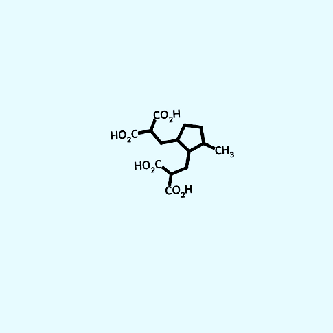 CC1CCC(CC(C(=O)O)C(=O)O)C1CC(C(=O)O)C(=O)O